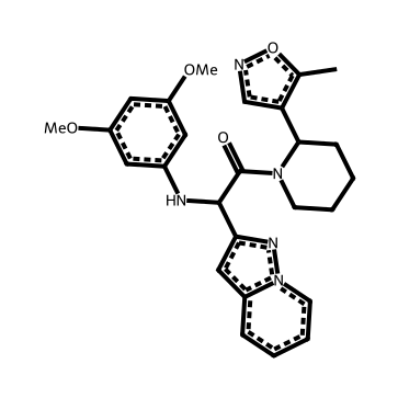 COc1cc(NC(C(=O)N2CCCCC2c2cnoc2C)c2cc3ccccn3n2)cc(OC)c1